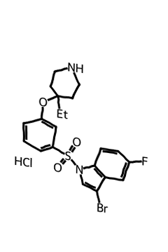 CCC1(Oc2cccc(S(=O)(=O)n3cc(Br)c4cc(F)ccc43)c2)CCNCC1.Cl